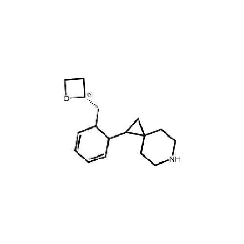 C1=CC(C[C@H]2CCO2)C(C2CC23CCNCC3)C=C1